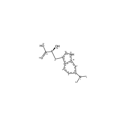 CN(C)c1ccc2c(C[C@H](O)C(=O)O)c[nH]c2c1